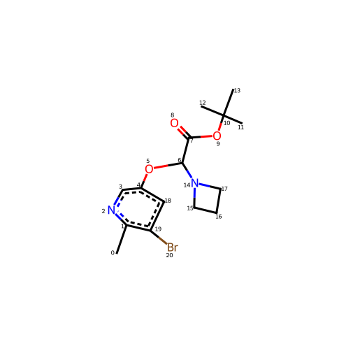 Cc1ncc(OC(C(=O)OC(C)(C)C)N2CCC2)cc1Br